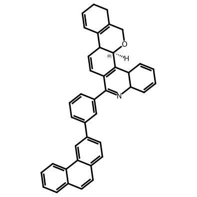 C1=CC2N=C(c3cccc(-c4ccc5ccc6ccccc6c5c4)c3)C3=C(C2C=C1)[C@@H]1OCC2=C(C=CCC2)C1C=C3